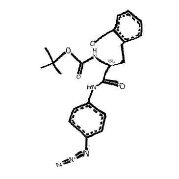 CC(C)(C)OC(=O)N[C@@H](Cc1ccccc1Cl)C(=O)Nc1ccc(N=[N+]=[N-])cc1